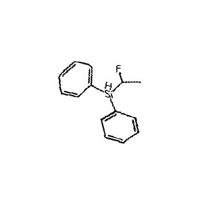 CC(F)[SiH](c1ccccc1)c1ccccc1